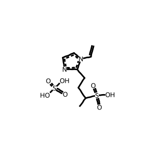 C=Cn1ccnc1CCC(C)S(=O)(=O)O.O=S(=O)(O)O